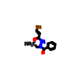 O=C(O)CN(NC(=O)C=CS)C(=O)c1ccccc1